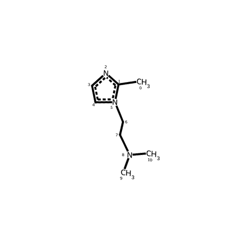 Cc1nccn1CCN(C)C